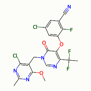 COc1nc(C)nc(Cl)c1Cn1cnc(C(C)(F)F)c(Oc2cc(Cl)cc(C#N)c2F)c1=O